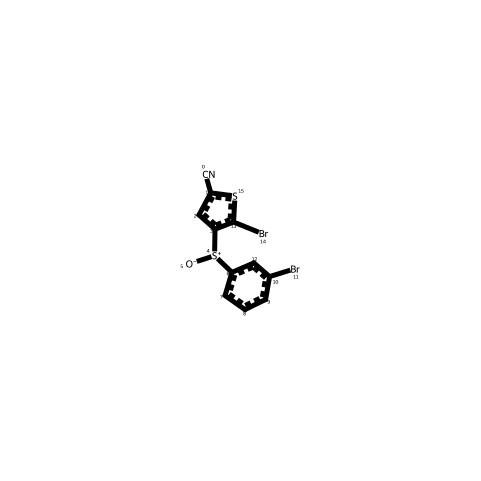 N#Cc1cc([S+]([O-])c2cccc(Br)c2)c(Br)s1